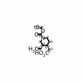 C=C[C@H]1CN(C(=O)OC(C)(C)C)CC[C@H]1CC(=O)O